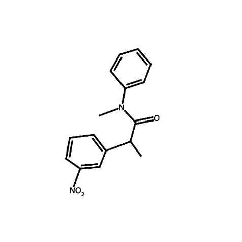 CC(C(=O)N(C)c1ccccc1)c1cccc([N+](=O)[O-])c1